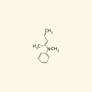 C=C/C=C(\C)N(C)c1ccccc1